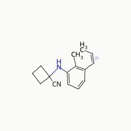 C/C=C\c1cccc(NC2(C#N)CCC2)c1C